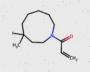 C=CC(=O)N1CCCCCC(C)(I)CC1